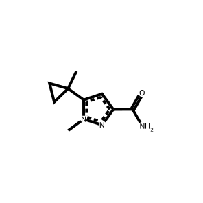 Cn1nc(C(N)=O)cc1C1(C)CC1